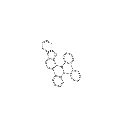 c1ccc2c(c1)B1c3c(ccc4c3sc3ccccc34)-c3ccccc3N1c1ccccc1-2